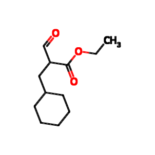 CCOC(=O)C(C=O)CC1CCCCC1